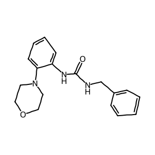 O=C(NCc1ccccc1)Nc1ccccc1N1CCOCC1